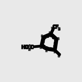 Cc1cc(C(=O)O)cc(C(F)(F)F)c1